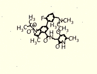 COc1cc(C)[nH]c(=O)c1CNC(=O)c1cc(-c2cc(CN(C)C)ccc2F)cc2c1c(C)cn2S(=O)(=O)C(C)C